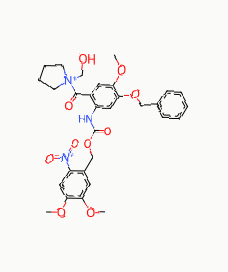 COc1cc(COC(=O)Nc2cc(OCc3ccccc3)c(OC)cc2C(=O)[N+]2(CO)CCCC2)c([N+](=O)[O-])cc1OC